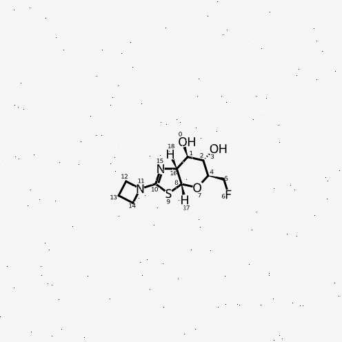 O[C@H]1[C@H](O)[C@@H](CF)O[C@@H]2SC(N3CCC3)=N[C@H]12